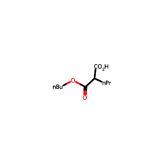 CCCCOC(=O)C(CCC)C(=O)O